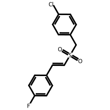 O=S(=O)(C=Cc1ccc(F)cc1)Cc1ccc(Cl)cc1